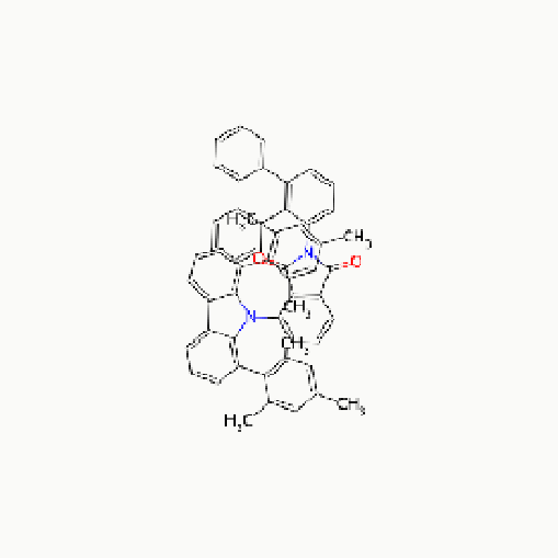 Cc1cc(C)c(-c2cccc3c4cccc(-c5c(C)cc(C)cc5C)c4n(-c4cccc5c4C(=O)N(c4cccc(-c6ccccc6)c4-c4ccccc4)C5=O)c23)c(C)c1